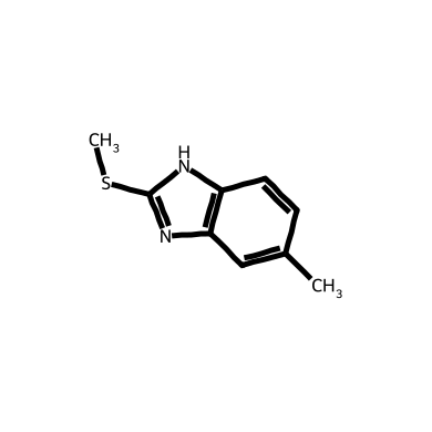 CSc1nc2cc(C)ccc2[nH]1